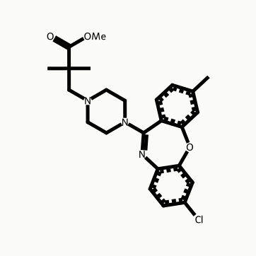 COC(=O)C(C)(C)CN1CCN(C2=Nc3ccc(Cl)cc3Oc3cc(C)ccc32)CC1